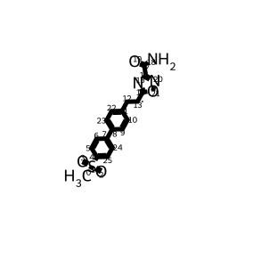 CS(=O)(=O)c1ccc(-c2ccc(C[CH]c3nc(C(N)=O)no3)cc2)cc1